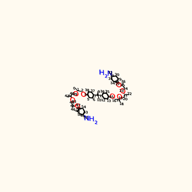 CC(COc1ccc(C(C)(C)c2ccc(OCC(C)OCC(C)OCC(C)Oc3ccc(N)cc3)cc2)cc1)OCC(C)OCC(C)Oc1ccc(N)cc1